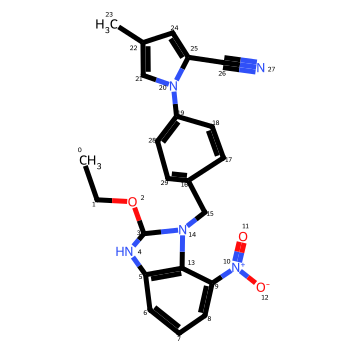 CCOC1Nc2cccc([N+](=O)[O-])c2N1Cc1ccc(-n2cc(C)cc2C#N)cc1